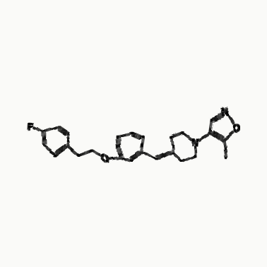 Cc1oncc1N1CCC(=Cc2cccc(OCCc3ccc(F)cc3)c2)CC1